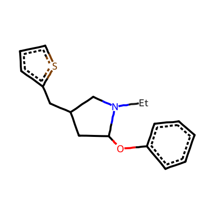 CCN1CC(Cc2cccs2)CC1Oc1ccccc1